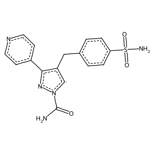 NC(=O)n1[c]c(Cc2ccc(S(N)(=O)=O)cc2)c(-c2ccncc2)n1